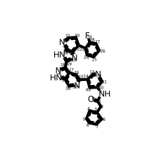 O=C(Cc1ccccc1)Nc1cncc(-c2cc3c(-c4nc5c(-c6ccccc6F)ccnc5[nH]4)n[nH]c3cn2)c1